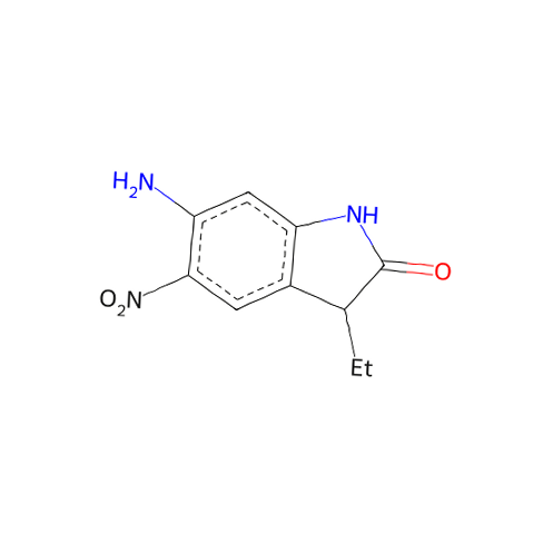 CCC1C(=O)Nc2cc(N)c([N+](=O)[O-])cc21